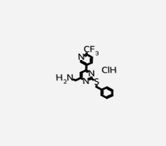 Cl.NCc1cc(-c2ccc(C(F)(F)F)nc2)nc(SCc2ccccc2)n1